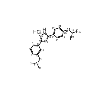 CN(C)Cc1cccc(-c2n[nH]c(-c3ccc(OC(F)F)cc3)n2)c1.Cl